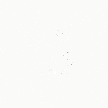 Cc1cccc(OCCCC(=O)N2CCCc3c(-c4cnn(Cc5cccc(CC(=O)O)c5)c4)cccc32)c1C